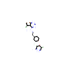 Fc1cnc(C(F)(F)F)c(F)c1Oc1ccc(CCNc2ncnc3scc(Cl)c23)cc1